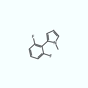 Cn1c[c]cc1-c1c(F)cccc1F